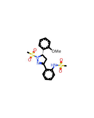 COc1ccccc1[C@@H]1CC(c2ccccc2NS(C)(=O)=O)=NN1S(C)(=O)=O